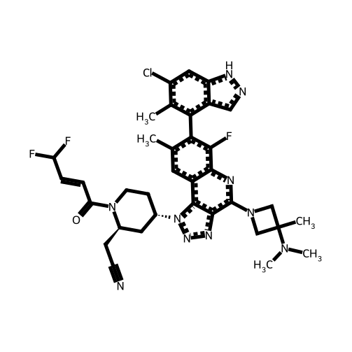 Cc1cc2c(nc(N3CC(C)(N(C)C)C3)c3nnn([C@H]4CCN(C(=O)/C=C/C(F)F)[C@H](CC#N)C4)c32)c(F)c1-c1c(C)c(Cl)cc2[nH]ncc12